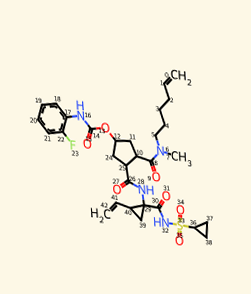 C=CCCCCN(C)C(=O)C1CC(OC(=O)Nc2ccccc2F)CC1C(=O)NC1(C(=O)NS(=O)(=O)C2CC2)CC1C=C